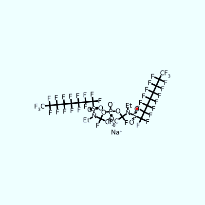 CCN(C(F)(OP(=O)([O-])OC(F)(N(CC)S(=O)(=O)C(F)(F)C(F)(F)C(F)(F)C(F)(F)C(F)(F)C(F)(F)C(F)(F)C(F)(F)F)C(F)(F)F)C(F)(F)F)S(=O)(=O)C(F)(F)C(F)(F)C(F)(F)C(F)(F)C(F)(F)C(F)(F)C(F)(F)C(F)(F)F.[Na+]